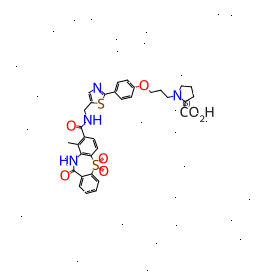 Cc1c(C(=O)NCc2cnc(-c3ccc(OCCCN4CCC[C@H]4C(=O)O)cc3)s2)ccc2c1NC(=O)c1ccccc1S2(=O)=O